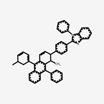 CC1c2c(c(C3=CC=CC(I)C3)c3ccccc3c2-c2ccccc2)C=CC1c1ccc(-c2nc3ccccc3n2-c2ccccc2)cc1